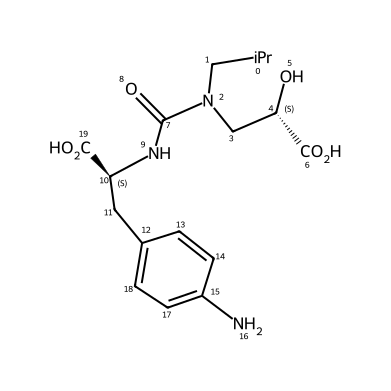 CC(C)CN(C[C@H](O)C(=O)O)C(=O)N[C@@H](Cc1ccc(N)cc1)C(=O)O